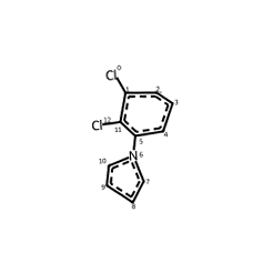 Clc1[c]ccc(-n2cccc2)c1Cl